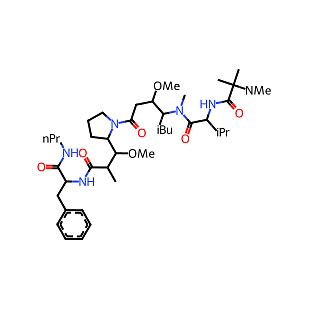 CCCNC(=O)C(Cc1ccccc1)NC(=O)C(C)C(OC)C1CCCN1C(=O)CC(OC)C(C(C)CC)N(C)C(=O)C(NC(=O)C(C)(C)NC)C(C)C